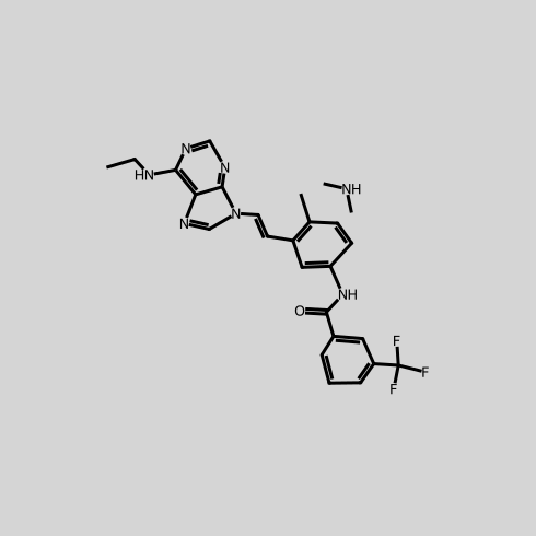 CCNc1ncnc2c1ncn2C=Cc1cc(NC(=O)c2cccc(C(F)(F)F)c2)ccc1C.CNC